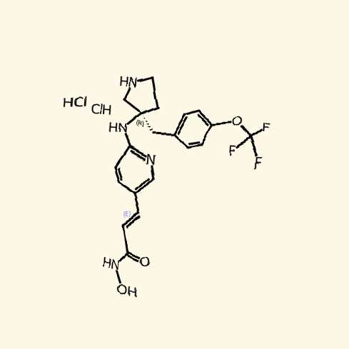 Cl.Cl.O=C(/C=C/c1ccc(N[C@]2(Cc3ccc(OC(F)(F)F)cc3)CCNC2)nc1)NO